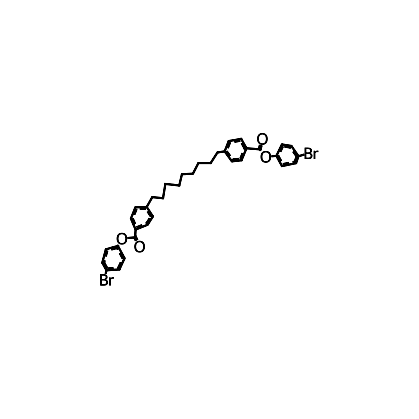 O=C(Oc1ccc(Br)cc1)c1ccc(CCCCCCCCCc2ccc(C(=O)Oc3ccc(Br)cc3)cc2)cc1